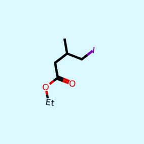 CCOC(=O)CC(C)CI